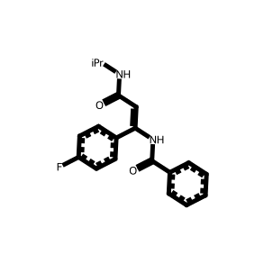 CC(C)NC(=O)C=C(NC(=O)c1ccccc1)c1ccc(F)cc1